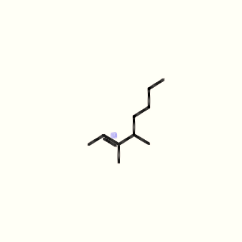 C/C=C(\C)C(C)CCCC